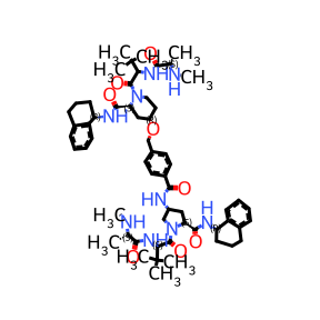 CN[C@@H](C)C(=O)NC(C(=O)N1CC[C@@H](OCc2ccc(C(=O)NC3C[C@@H](C(=O)N[C@@H]4CCCc5ccccc54)N(C(=O)[C@@H](NC(=O)[C@H](C)NC)C(C)(C)C)C3)cc2)C[C@H]1C(=O)N[C@@H]1CCCc2ccccc21)C(C)(C)C